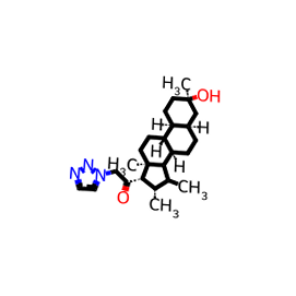 CC1C2[C@@H]3CC[C@@H]4C[C@](C)(O)CC[C@@H]4[C@H]3CC[C@]2(C)[C@@H](C(=O)Cn2ccnn2)[C@H]1C